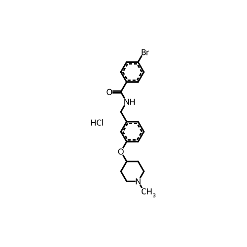 CN1CCC(Oc2cccc(CNC(=O)c3ccc(Br)cc3)c2)CC1.Cl